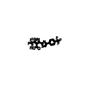 O=C(O)c1c(-c2nc(-c3ccc(C(F)(F)F)cc3)cs2)n[nH]c1C(F)(F)F